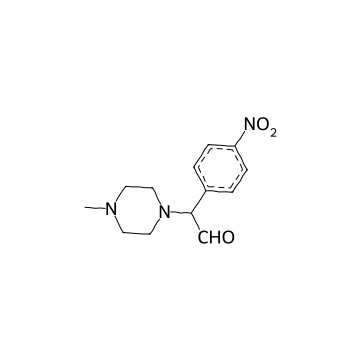 CN1CCN(C(C=O)c2ccc([N+](=O)[O-])cc2)CC1